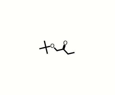 CCC(=O)COC(C)(C)C